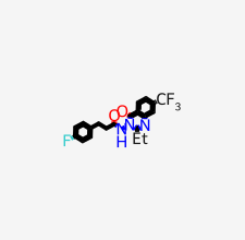 CCc1nc2cc(C(F)(F)F)ccc2c(=O)n1NC(=O)CCc1ccc(F)cc1